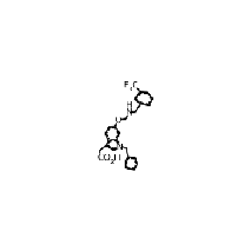 O=C(O)Cc1cn(Cc2ccccc2)c2cc(OCNCc3cccc(C(F)(F)F)c3)ccc12